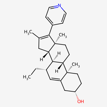 CC[C@H]1C=C2C[C@@H](O)CC[C@]2(C)[C@H]2CC[C@]3(C)C(c4ccncc4)=C(C)C[C@H]3[C@H]12